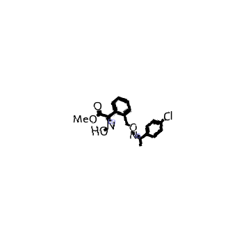 COC(=O)/C(=N\O)c1ccccc1CO/N=C(/C)c1ccc(Cl)cc1